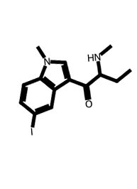 CCC(NC)C(=O)c1cn(C)c2ccc(I)cc12